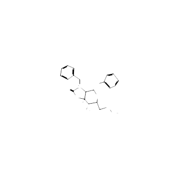 CCCCOCC1O[C@@H](Sc2ccccc2)C2[C@@H](OC(=O)N2Cc2ccccc2)[C@@H]1OC(C)=O